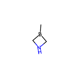 CB1CNC1